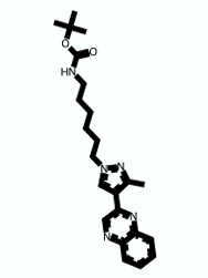 Cc1nn(CCCCCCNC(=O)OC(C)(C)C)cc1-c1cnc2ccccc2n1